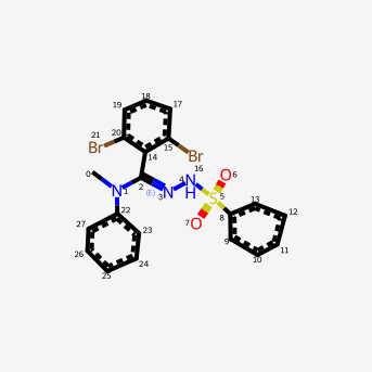 CN(/C(=N/NS(=O)(=O)c1ccccc1)c1c(Br)cccc1Br)c1ccccc1